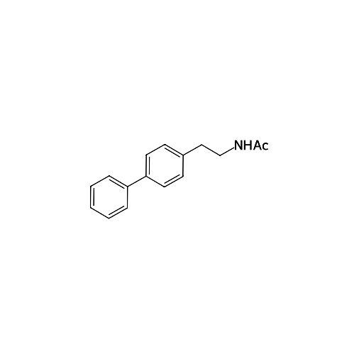 CC(=O)NCCc1ccc(-c2ccccc2)cc1